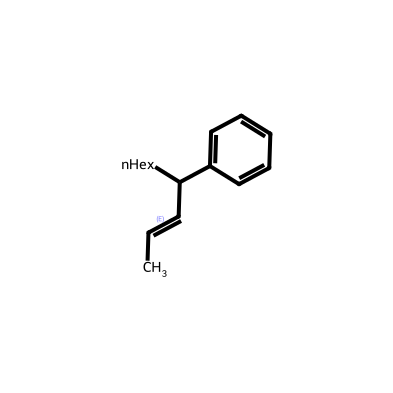 C/C=C/C(CCCCCC)c1ccccc1